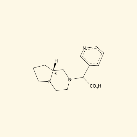 O=C(O)C(c1cccnc1)N1CCN2CCC[C@@H]2C1